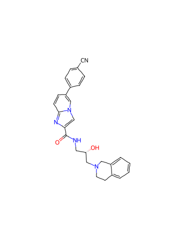 N#Cc1ccc(-c2ccc3nc(C(=O)NC[C@H](O)CN4CCc5ccccc5C4)cn3c2)cc1